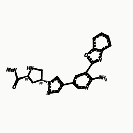 CNC(=O)[C@@H]1C[C@@H](n2cc(-c3cnc(N)c(-c4nc5ccccc5o4)c3)cn2)CN1